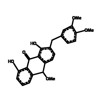 COc1ccc(Cc2ccc3c(c2O)C(=O)c2c(O)cccc2C3OC)cc1OC